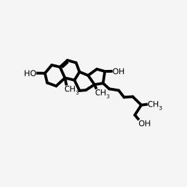 CC(CO)CCCCC1C(O)CC2C3CC=C4CC(O)CCC4(C)C3CCC12C